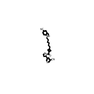 N#Cc1cncc(C2CC=NN2C(=O)C23CC(CCCCCCn4ncc5cc(C#N)ccc54)(C2)C3)c1